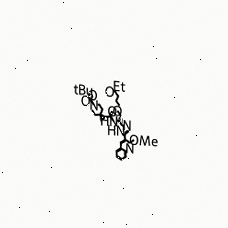 CCC(=O)CCCOC[C@H](NC(=O)C1CC12CCN(C(=O)OC(C)(C)C)CC2)c1ncc(-c2cc3ccccc3nc2OC)[nH]1